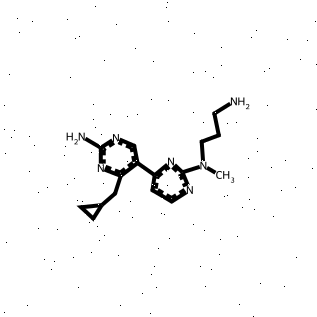 CN(CCCN)c1nccc(-c2cnc(N)nc2CC2CC2)n1